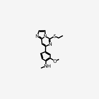 CCSc1nc(-c2ccc(NC)c(OC)c2)cc2nccn12